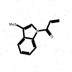 C=CC(=O)n1cc(SC)c2ccccc21